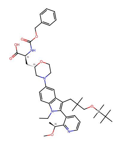 CCn1c(-c2cccnc2[C@H](C)OC)c(CC(C)(C)CO[Si](C)(C)C(C)(C)C)c2cc(N3CCO[C@@H](C[C@H](NC(=O)OCc4ccccc4)C(=O)O)C3)ccc21